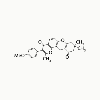 COc1ccc(-c2c(C)oc3c4c(ccc3c2=O)OC2=C(C4)C(=O)CC(C)(C)C2)cc1